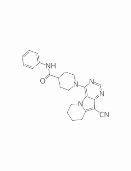 N#Cc1c2n(c3c(N4CCC(C(=O)Nc5ccccc5)CC4)ncnc13)CCCC2